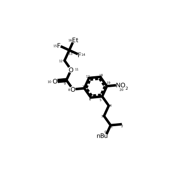 CCCCC(C)CCc1cc(OC(=O)OCC(F)(F)CC)ccc1[N+](=O)[O-]